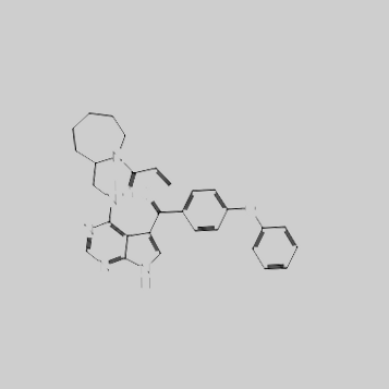 C=CC(=O)N1CCCCCC1CNc1ncnc2[nH]cc(C(=O)c3ccc(Oc4ccccc4)cc3)c12